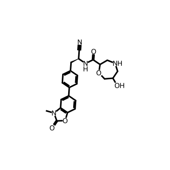 Cn1c(=O)oc2ccc(-c3ccc(C[C@@H](C#N)NC(=O)C4CNCC(O)CO4)cc3)cc21